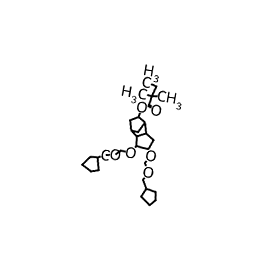 CCC(C)(C)C(=O)OC1CC2CC1C1CC(OCOCC3CCCC3)C(OCOCC3CCCC3)C21